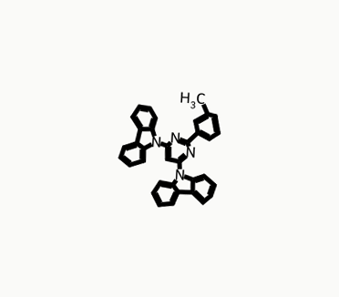 Cc1cccc(-c2nc(-n3c4ccccc4c4ccccc43)cc(-n3c4ccccc4c4ccccc43)n2)c1